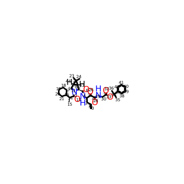 C=CCC(NC(=O)[C@@H]1[C@@H]2[C@H](CN1C(=O)[C@@H](C)C1CCCCC1)C2(C)C)C(=O)C(=O)NCC(=O)OC(C)(C)c1ccccc1